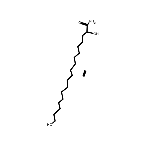 C=C.NC(=O)C(O)CCCCCCCCCCCCCCCCO